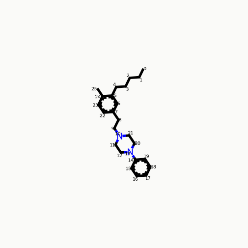 CCCCCc1cc(CCN2CCN(c3ccccc3)CC2)ccc1C